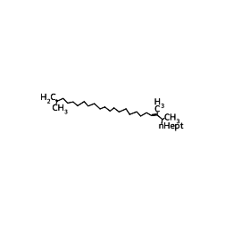 C=C(C)CCCCCCCCCCCCCCCCCC=C(C)C(C)CCCCCCC